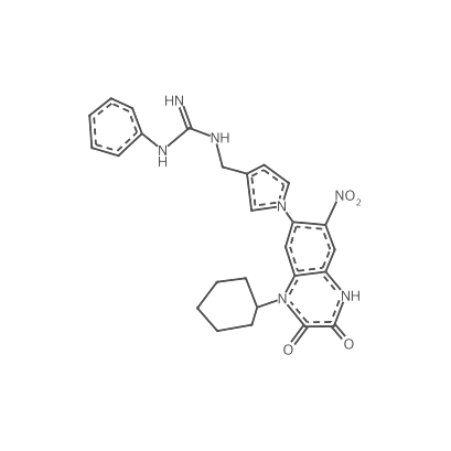 N=C(NCc1ccn(-c2cc3c(cc2[N+](=O)[O-])[nH]c(=O)c(=O)n3C2CCCCC2)c1)Nc1ccccc1